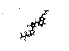 CCOCc1cc2c(Nc3cc(C4CCC(OC(=O)NC(C)C)C4)[nH]n3)nccn2n1